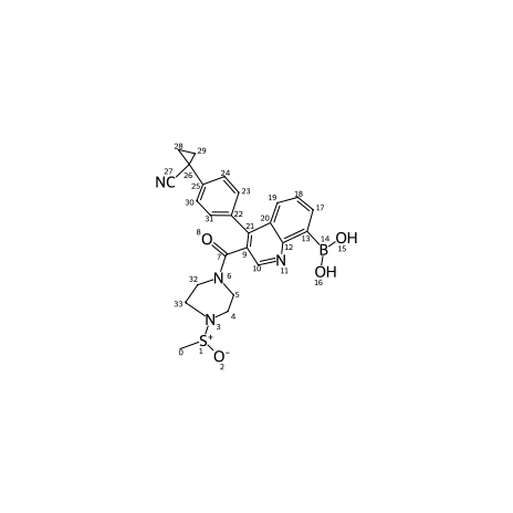 C[S+]([O-])N1CCN(C(=O)c2cnc3c(B(O)O)cccc3c2-c2ccc(C3(C#N)CC3)cc2)CC1